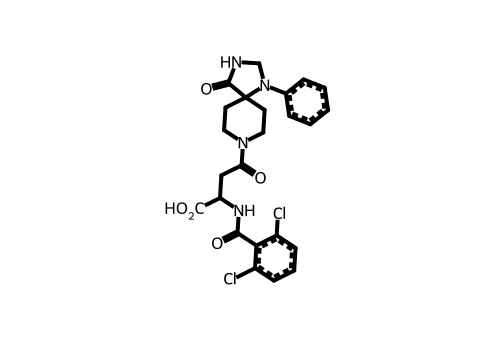 O=C(NC(CC(=O)N1CCC2(CC1)C(=O)NCN2c1ccccc1)C(=O)O)c1c(Cl)cccc1Cl